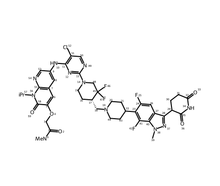 CNC(=O)COc1cc2cc(Nc3nc(N4CC[C@@H](CN5CCC(c6c(F)cc7c(C8CCC(=O)NC8=O)nn(C)c7c6F)CC5)C(F)(F)C4)ncc3Cl)cnc2n(C(C)C)c1=O